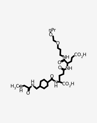 CBCC(=O)NCC1CCC(C(=O)NC(CCC(=O)NC(CCC(=O)O)C(=O)NCCCOCCOCCC)C(=O)O)CC1